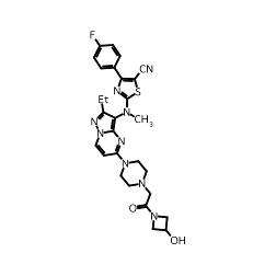 CCc1nn2ccc(N3CCN(CC(=O)N4CC(O)C4)CC3)nc2c1N(C)c1nc(-c2ccc(F)cc2)c(C#N)s1